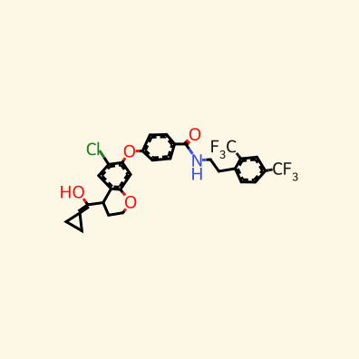 O=C(NCCc1ccc(C(F)(F)F)cc1C(F)(F)F)c1ccc(Oc2cc3c(cc2Cl)C(C(O)=C2CC2)CCO3)cc1